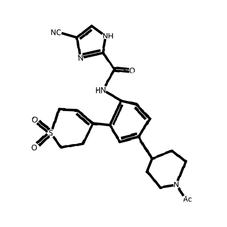 CC(=O)N1CCC(c2ccc(NC(=O)c3nc(C#N)c[nH]3)c(C3=CCS(=O)(=O)CC3)c2)CC1